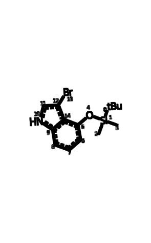 CC(C)(C)[Si](C)(C)Oc1cccc2[nH]cc(Br)c12